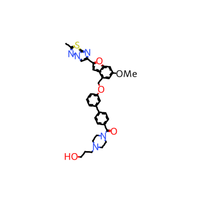 COc1cc(COc2cccc(-c3ccc(C(=O)N4CCN(CCCO)CC4)cc3)c2)c2cc(-c3cn4nc(C)sc4n3)oc2c1